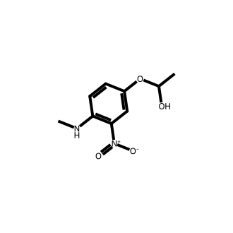 CNc1ccc(OC(C)O)cc1[N+](=O)[O-]